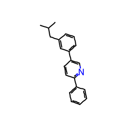 CC(C)Cc1cccc(-c2ccc(-c3ccccc3)nc2)c1